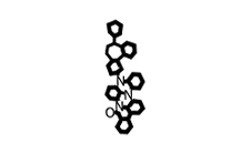 O=c1c2ccccc2c2cccc3c2n1c1cccc2c1-n3c1ccccc1n2-c1ccc2c(c1)-c1ccccc1C(c1ccccc1)CC2